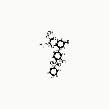 COC(=O)[C@H](C)Oc1ccc(F)cc1-c1ccc(S(=O)(=O)c2ccccc2)c(Cl)c1